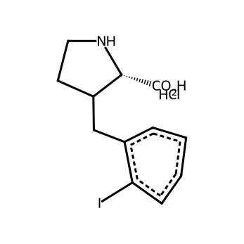 Cl.O=C(O)[C@H]1NCCC1Cc1ccccc1I